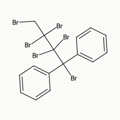 BrCC(Br)(Br)C(Br)(Br)C(Br)(c1ccccc1)c1ccccc1